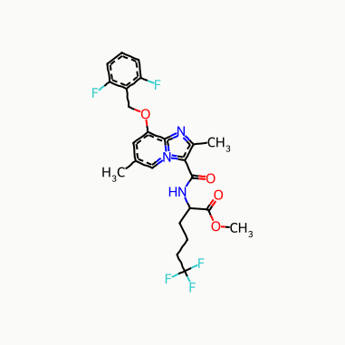 COC(=O)C(CCCC(F)(F)F)NC(=O)c1c(C)nc2c(OCc3c(F)cccc3F)cc(C)cn12